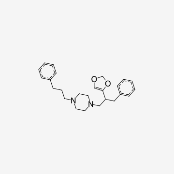 C1=C(C(Cc2ccccc2)CN2CCN(CCCc3ccccc3)CC2)OCO1